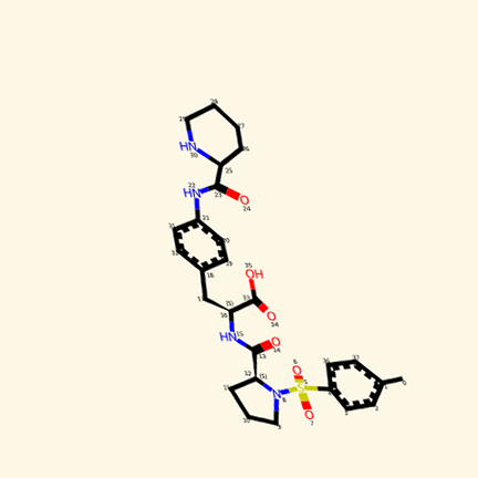 Cc1ccc(S(=O)(=O)N2CCC[C@H]2C(=O)N[C@@H](Cc2ccc(NC(=O)C3CCCCN3)cc2)C(=O)O)cc1